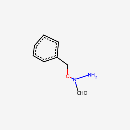 NN([C]=O)OCc1ccccc1